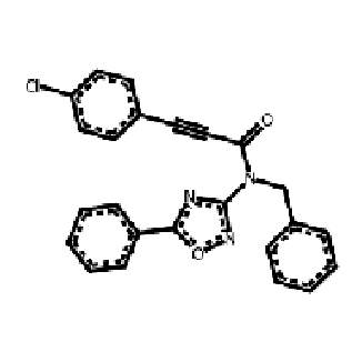 O=C(C#Cc1ccc(Cl)cc1)N(Cc1ccccc1)c1noc(-c2ccccc2)n1